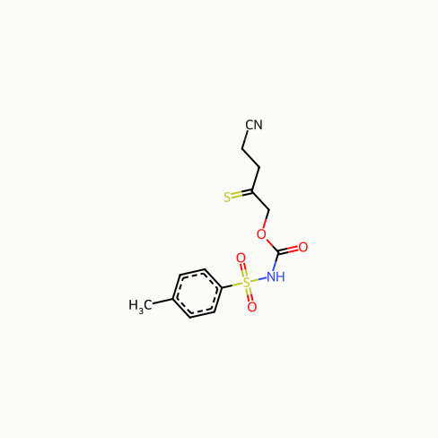 Cc1ccc(S(=O)(=O)NC(=O)OCC(=S)CCC#N)cc1